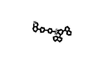 c1ccc2c(-c3cc(-c4cccc5ccccc45)c4nc(-c5ccc(-c6ccc(-c7cccc8cnccc78)cc6)cc5)sc4c3)cccc2c1